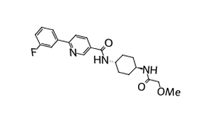 COCC(=O)N[C@H]1CC[C@H](NC(=O)c2ccc(-c3cccc(F)c3)nc2)CC1